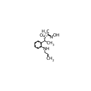 C=CCNc1ccccc1C(C)[S+]([O-])C(C)=NO